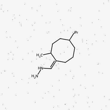 CC1CCC(C(C)C)CCC/C1=C/NN